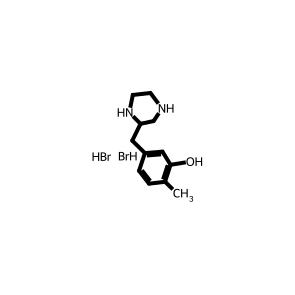 Br.Br.Cc1ccc(CC2CNCCN2)cc1O